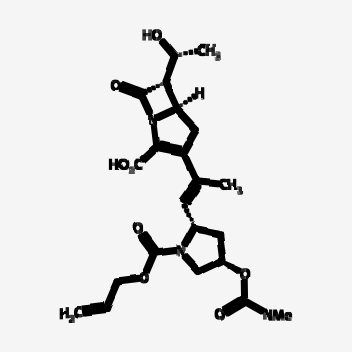 C=CCOC(=O)N1C[C@H](OC(=O)NC)C[C@H]1/C=C(\C)C1=C(C(=O)O)N2C(=O)[C@H]([C@@H](C)O)[C@H]2C1